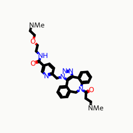 CNCCOCCNC(=O)c1ccc(Cn2nnc3c2-c2ccccc2CN(C(=O)CCNC)c2ccccc2-3)nc1